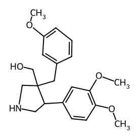 COc1cccc(CC2(CO)CNCC2c2ccc(OC)c(OC)c2)c1